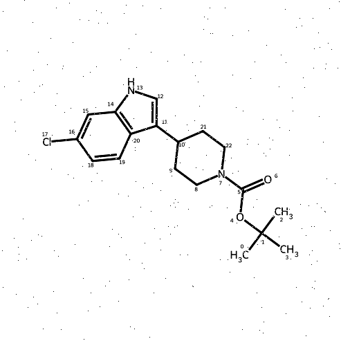 CC(C)(C)OC(=O)N1CCC(c2c[nH]c3cc(Cl)ccc23)CC1